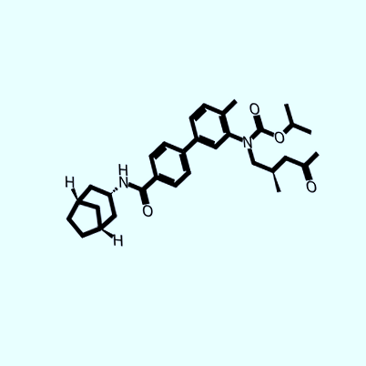 CC(=O)C[C@@H](C)CN(C(=O)OC(C)C)c1cc(-c2ccc(C(=O)N[C@@H]3C[C@@H]4CC[C@@H](C4)C3)cc2)ccc1C